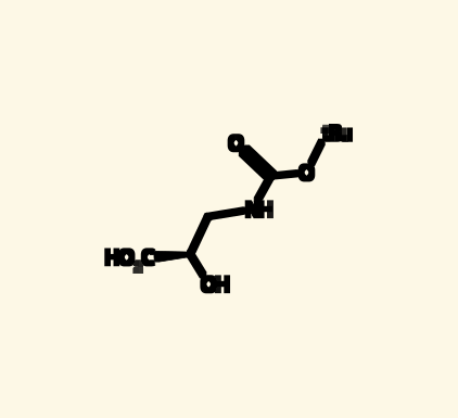 CC(C)(C)OC(=O)NC[C@@H](O)C(=O)O